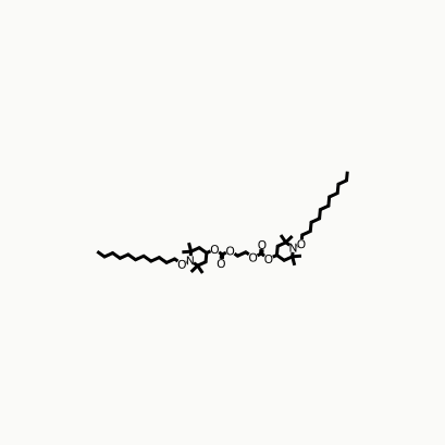 CCCCCCCCCCCON1C(C)(C)CC(OC(=O)OCCOC(=O)OC2CC(C)(C)N(OCCCCCCCCCCC)C(C)(C)C2)CC1(C)C